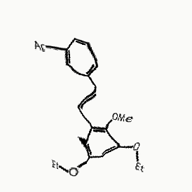 CCOc1cc(C=Cc2cccc(C(C)=O)c2)c(OC)c(OCC)c1